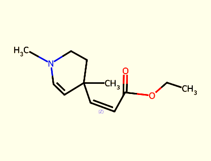 CCOC(=O)/C=C\C1(C)C=CN(C)CC1